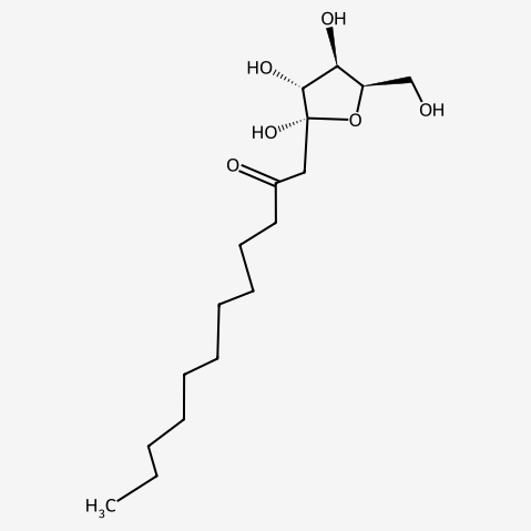 CCCCCCCCCCC(=O)C[C@]1(O)O[C@H](CO)[C@H](O)[C@H]1O